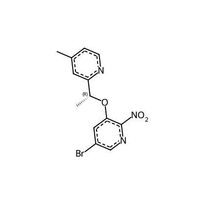 Cc1ccnc([C@@H](C)Oc2cc(Br)cnc2[N+](=O)[O-])c1